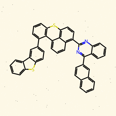 c1cc2c(c(-c3ccc4sc5ccccc5c4c3)c1)-c1cccc3c(-c4nc(-c5ccc6ccccc6c5)c5ccccc5n4)ccc(c13)S2